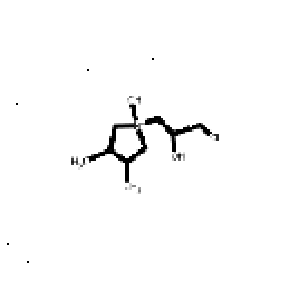 CC1C[N+](C)(CC(O)CCl)CC1C